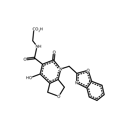 O=C(O)CNC(=O)c1c(O)c2c(n(Cc3nc4ccccc4o3)c1=O)COC2